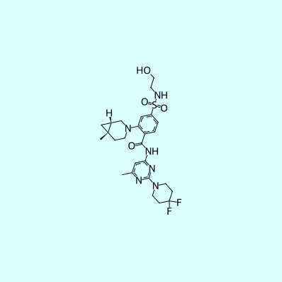 Cc1cc(NC(=O)c2ccc(S(=O)(=O)NCCO)cc2N2CC[C@]3(C)C[C@@H]3C2)nc(N2CCC(F)(F)CC2)n1